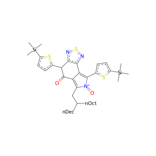 CCCCCCCCCCC(CCCCCCCC)CC1=C2C(=O)C(c3ccc([Si](C)(C)C)s3)c3nsnc3C2=C(c2ccc([Si](C)(C)C)s2)[N+]1=O